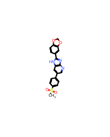 CS(=O)(=O)c1ccc(-c2cnc3nc(-c4ccc5c(c4)OCO5)[nH]c3c2)cc1